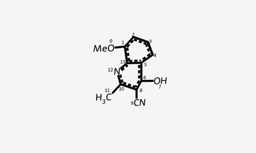 COc1cccc2c(O)c(C#N)c(C)nc12